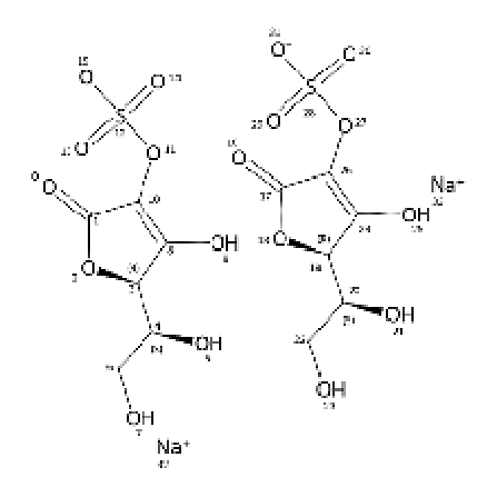 O=C1O[C@H]([C@@H](O)CO)C(O)=C1OS(=O)(=O)[O-].O=C1O[C@H]([C@@H](O)CO)C(O)=C1OS(=O)(=O)[O-].[Na+].[Na+]